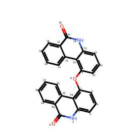 O=c1[nH]c2cccc(Oc3cccc4[nH]c(=O)c5ccccc5c34)c2c2ccccc12